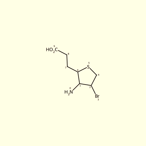 NC1C(Br)CSC1CCC(=O)O